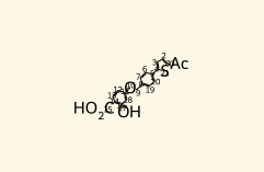 CC(=O)c1ccc(-c2ccc(COc3ccc(C(=O)O)c(O)c3)cc2)s1